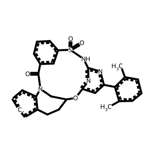 Cc1cccc(C)c1-c1cc2nc(n1)NS(=O)(=O)c1cccc(c1)C(=O)N1CC(CCc3ccccc31)O2